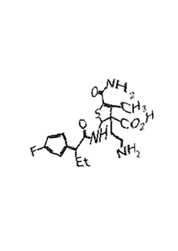 CCC(C(=O)NC1SC(C(N)=O)=C(C)C1(CCN)C(=O)O)c1ccc(F)cc1